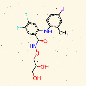 Cc1cc(I)ccc1Nc1cc(F)c(F)cc1C(=O)NOCC(O)CO